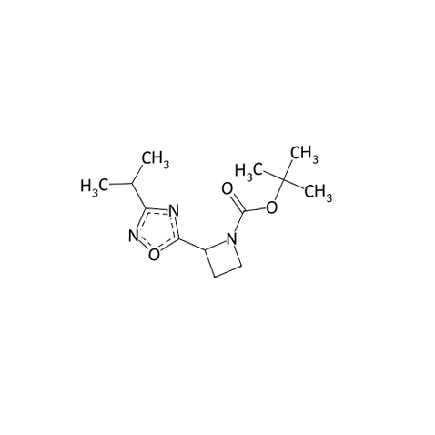 CC(C)c1noc(C2CCN2C(=O)OC(C)(C)C)n1